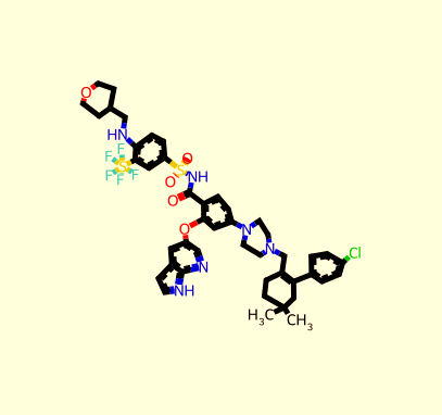 CC1(C)CCC(CN2CCN(c3ccc(C(=O)NS(=O)(=O)c4ccc(NCC5CCOCC5)c(S(F)(F)(F)(F)F)c4)c(Oc4cnc5[nH]ccc5c4)c3)CC2)=C(c2ccc(Cl)cc2)C1